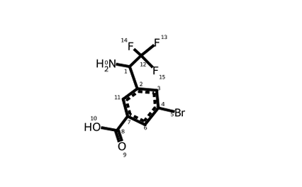 NC(c1cc(Br)cc(C(=O)O)c1)C(F)(F)F